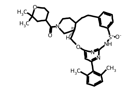 Cc1cccc(C)c1-c1cc2nc(n1)N[S+]([O-])c1cccc(c1)CCC1CCN(C(=O)C3CCOC(C)(C)C3)C[C@@H]1CO2